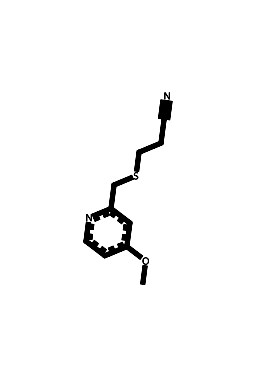 COc1ccnc(CSCCC#N)c1